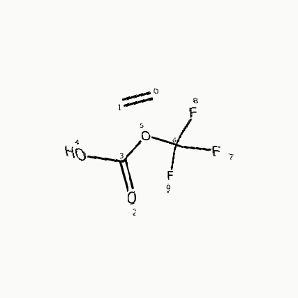 C=C.O=C(O)OC(F)(F)F